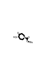 CC(C)(C)OC(=O)N1CCC(=O)[C@@H](O)CC1